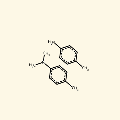 Cc1ccc(N(C)C)cc1.Cc1ccc(N)cc1